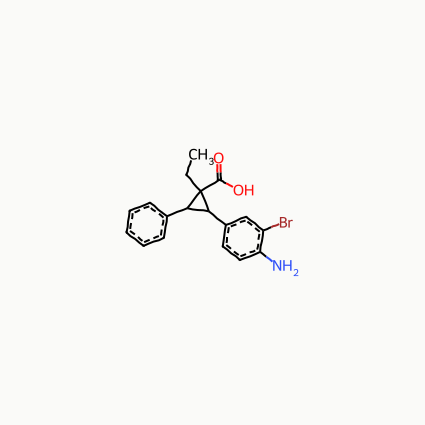 CCC1(C(=O)O)C(c2ccccc2)C1c1ccc(N)c(Br)c1